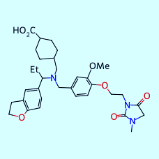 CCC(c1ccc2c(c1)CCO2)N(Cc1ccc(OCCN2C(=O)CN(C)C2=O)c(OC)c1)CC1CCC(C(=O)O)CC1